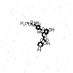 CCOC(=O)N=C(N)c1ccc(C(=O)NC(CC(=O)C(OC2CCNCC2)C(=O)O)c2ccc(O)cc2)cc1